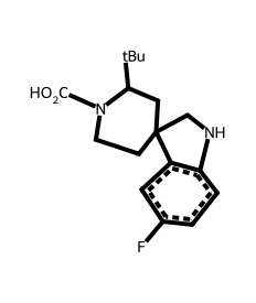 CC(C)(C)C1CC2(CCN1C(=O)O)CNc1ccc(F)cc12